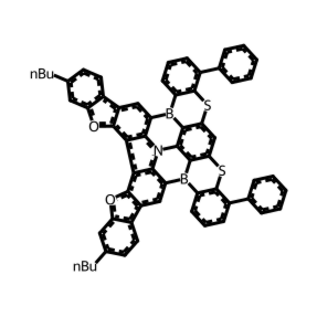 CCCCc1ccc2c(c1)oc1c2cc2c3c1c1c4oc5cc(CCCC)ccc5c4cc4c1n3-c1c3c(cc5c1B4c1cccc(-c4ccccc4)c1S5)Sc1c(cccc1-c1ccccc1)B32